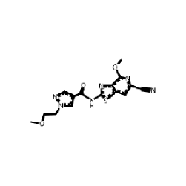 COCCn1cc(C(=O)Nc2nc3c(OC)nc(C#N)cc3s2)cn1